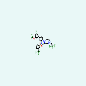 O=S(=O)(c1cccc(C(F)(F)F)c1)N1CC2CN(CC(F)(F)F)CCN2c2ccc(-c3cc(F)cc(OC(F)F)c3)cc21